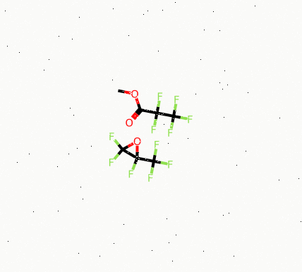 COC(=O)C(F)(F)C(F)(F)F.FC(F)(F)C1(F)OC1(F)F